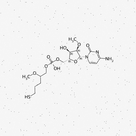 COC(CCCS)COP(=O)(O)OC[C@H]1O[C@@H](n2ccc(N)nc2=O)[C@H](OC)[C@@H]1O